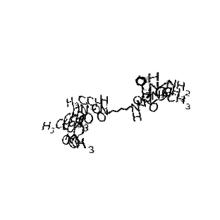 COC1C(OC(=O)N[C@@H](COC(=O)NCCCCCCNC(=O)CNC(=O)[C@H](CC(C)C)NC(=O)[C@H](Cc2ccccc2)NC(=O)CN)C(C)C)CC[C@]2(CO2)C1C1(C)O[C@@H]1CC=C(C)C